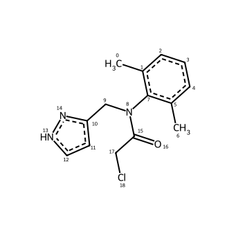 Cc1cccc(C)c1N(Cc1cc[nH]n1)C(=O)CCl